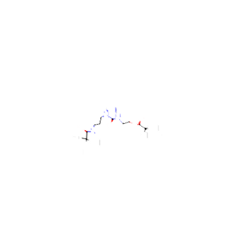 C=C(C)C(=O)OCCNC(=O)N(C)CCCNC(=O)C(C)(C)CC